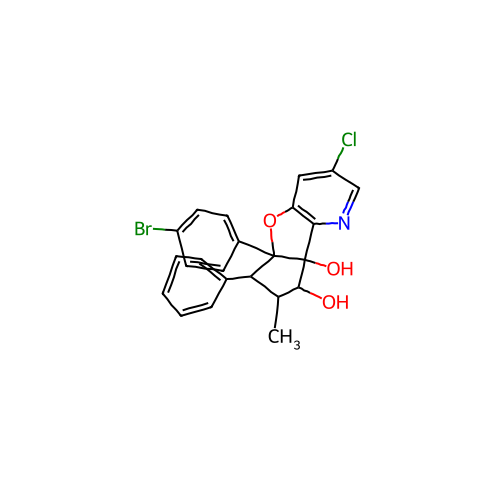 CC1C(O)C2(O)c3ncc(Cl)cc3OC2(c2ccc(Br)cc2)C1c1ccccc1